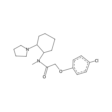 CN(C(=O)COc1ccc(Cl)cc1)C1CCCCC1N1CCCC1